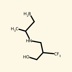 BCC(C)NCC(CO)C(F)(F)F